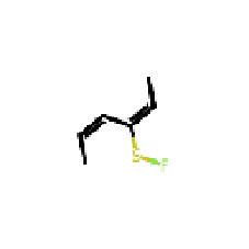 C/C=C\C(=C/C)SF